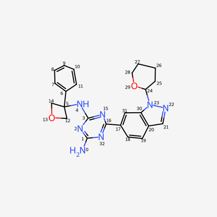 Nc1nc(NC2(c3ccccc3)COC2)nc(-c2ccc3cnn(C4CCCCO4)c3c2)n1